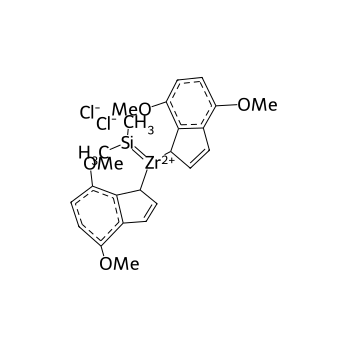 COc1ccc(OC)c2c1C=C[CH]2[Zr+2]([CH]1C=Cc2c(OC)ccc(OC)c21)=[Si](C)C.[Cl-].[Cl-]